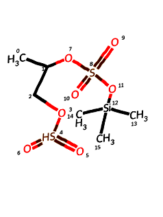 CC(CO[SH](=O)=O)OS(=O)(=O)O[Si](C)(C)C